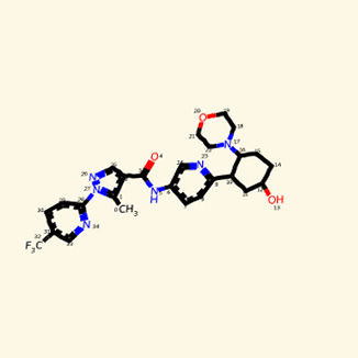 Cc1c(C(=O)Nc2ccc(C3CC(O)CCC3N3CCOCC3)nc2)cnn1-c1ccc(C(F)(F)F)cn1